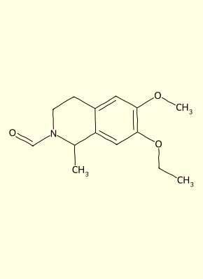 CCOc1cc2c(cc1OC)CCN(C=O)C2C